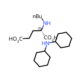 C1CCC(NC2CCCCC2)CC1.CCCCN[C@@H](CCC(=O)O)C(=O)O